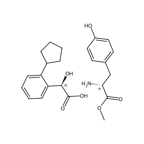 COC(=O)[C@H](N)Cc1ccc(O)cc1.O=C(O)[C@H](O)c1ccccc1C1CCCC1